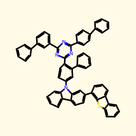 c1ccc(-c2ccc(-c3nc(-c4cccc(-c5ccccc5)c4)nc(-c4ccc(-n5c6ccccc6c6ccc(-c7cccc8c7sc7ccccc78)cc65)cc4-c4ccccc4)n3)cc2)cc1